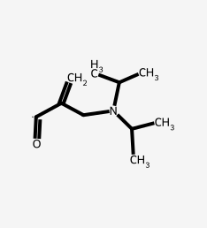 C=C([C]=O)CN(C(C)C)C(C)C